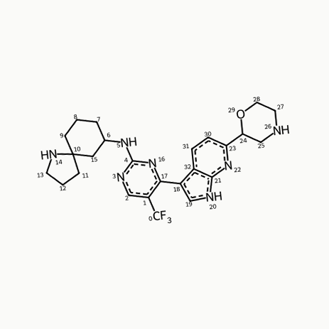 FC(F)(F)c1cnc(NC2CCCC3(CCCN3)C2)nc1-c1c[nH]c2nc(C3CNCCO3)ccc12